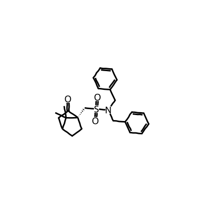 CC1(C)C2CC[C@]1(CS(=O)(=O)N(Cc1ccccc1)Cc1ccccc1)C(=O)C2